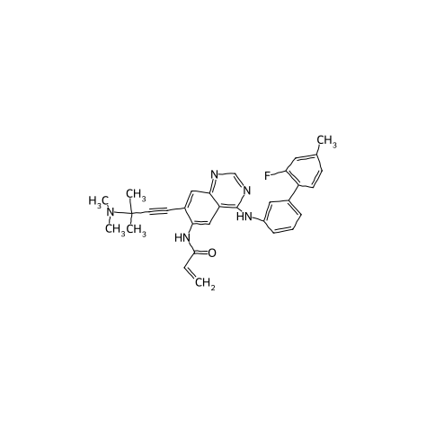 C=CC(=O)Nc1cc2c(Nc3cccc(-c4ccc(C)cc4F)c3)ncnc2cc1C#CC(C)(C)N(C)C